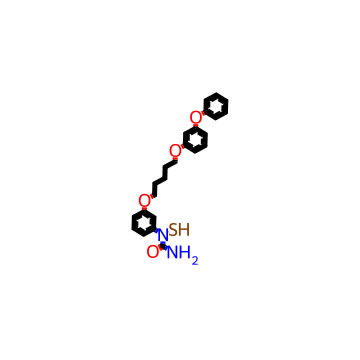 NC(=O)N(S)c1cccc(OCCCCCOc2cccc(Oc3ccccc3)c2)c1